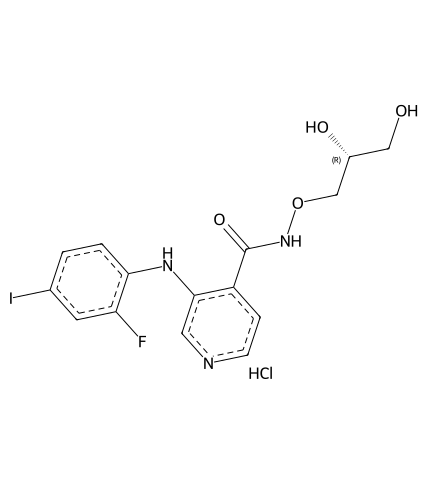 Cl.O=C(NOC[C@H](O)CO)c1ccncc1Nc1ccc(I)cc1F